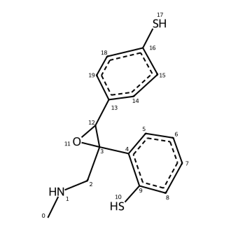 CNCC1(c2ccccc2S)OC1c1ccc(S)cc1